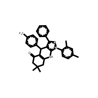 Cc1ccc(-n2nc(-c3ccccc3)c3c2NC2=C(C(=O)CC(C)(C)C2)C3c2ccc(C(F)(F)F)cc2)c(C)c1